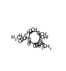 CC=CC[C@H]1C(=O)C(C)(C)[C@@H](O)CC(=O)O[C@H](C(C)=Cc2coc(C)n2)C[C@@H]2O[C@]2(C)CCO[C@H](C)[C@H]1O